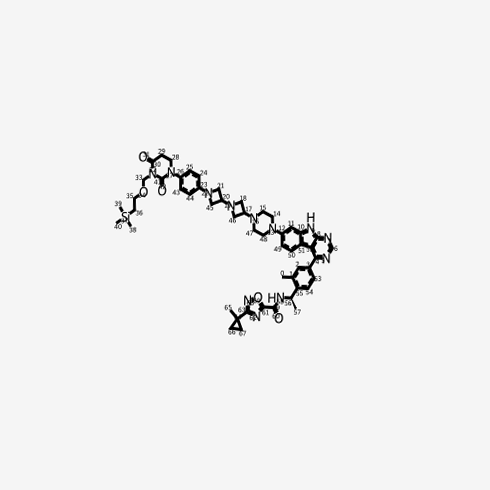 Cc1cc(-c2ncnc3[nH]c4cc(N5CCN(C6CN(C7CN(c8ccc(N9CCC(=O)N(COCC[Si](C)(C)C)C9=O)cc8)C7)C6)CC5)ccc4c23)ccc1[C@@H](C)NC(=O)c1nc(C2(C)CC2)no1